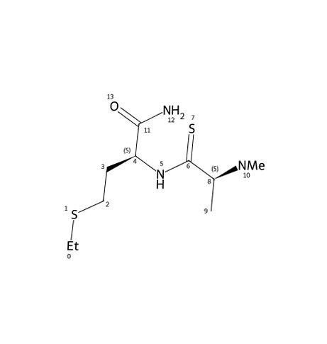 CCSCC[C@H](NC(=S)[C@H](C)NC)C(N)=O